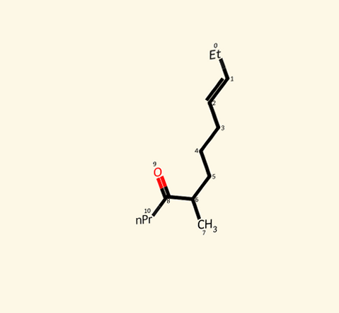 CCC=CCCCC(C)C(=O)CCC